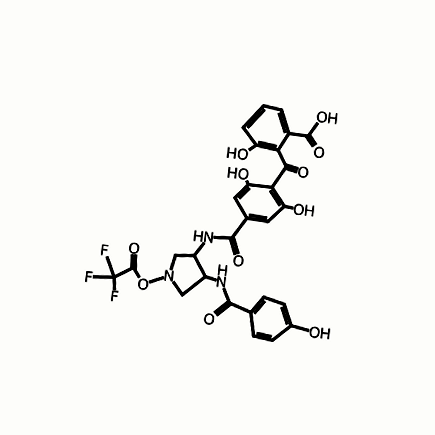 O=C(NC1CN(OC(=O)C(F)(F)F)CC1NC(=O)c1cc(O)c(C(=O)c2c(O)cccc2C(=O)O)c(O)c1)c1ccc(O)cc1